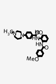 COc1ccc(C(=O)Nc2cccc(O)c2NC(=O)c2ccc(N3CCCN(C)CC3)cc2)cc1